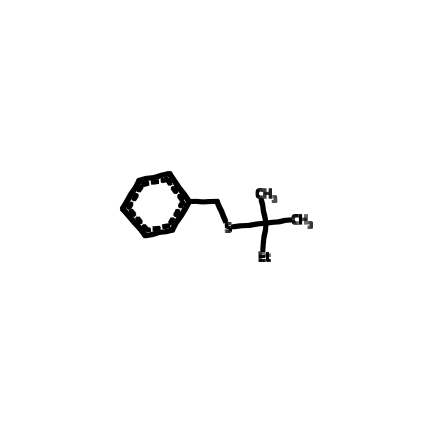 CCC(C)(C)SCc1ccccc1